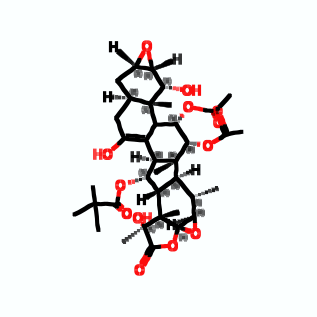 CC(=O)O[C@H]1C2C(=C(O)C[C@H]3C[C@@H]4O[C@@H]4[C@H](O)[C@]23C)[C@@H]2[C@@H](OC(=O)C(C)(C)C)[C@@H]3[C@H]([C@H](C)[C@H]4O[C@]45OC(=O)[C@@](C)(O)[C@]35C)[C@@]2(C)[C@H]1OC(C)=O